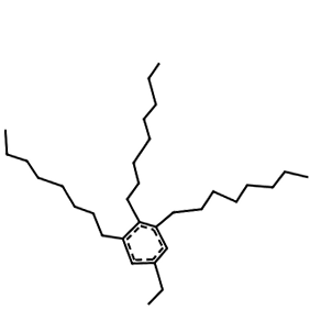 CCCCCCCCc1cc(CC)cc(CCCCCCCC)c1CCCCCCCC